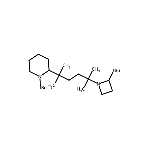 CC(C)(C)C1CCN1C(C)(C)CCC(C)(C)C1CCCCN1C(C)(C)C